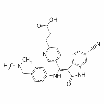 CN(C)Cc1ccc(N/C(=C2\C(=O)Nc3cc(C#N)ccc32)c2ccc(CCC(=O)O)nc2)cc1